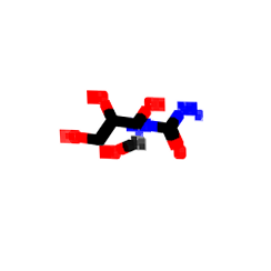 CCO.NC(N)=O.OCC(O)CO